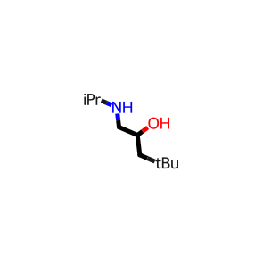 CC(C)NCC(O)CC(C)(C)C